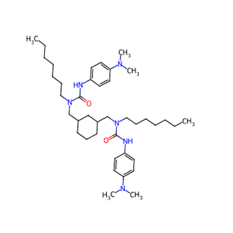 CCCCCCCN(CC1CCCC(CN(CCCCCCC)C(=O)Nc2ccc(N(C)C)cc2)C1)C(=O)Nc1ccc(N(C)C)cc1